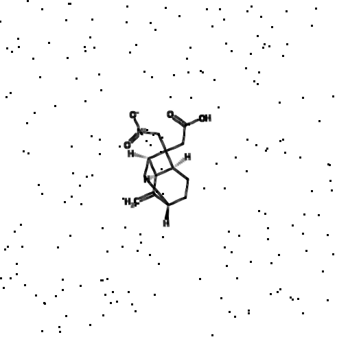 C=C1[C@H]2CC[C@H]3[C@@H]1[C@@H](C2)C3(CC(=O)O)C[N+](=O)[O-]